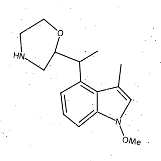 COn1[c]c(C)c2c(C(C)C3CNCCO3)cccc21